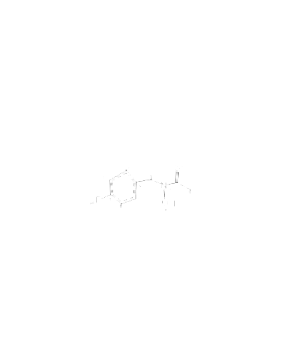 CC(=S)N(O)Cc1ccc(F)cc1